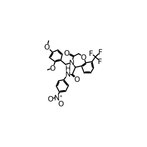 COc1ccc(CN2C(=O)COc3c(cccc3C(F)(F)F)C2C(=O)Nc2ccc([N+](=O)[O-])cc2)c(OC)c1